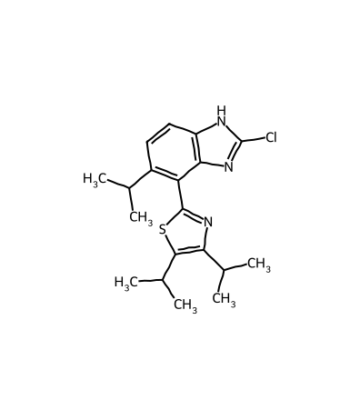 CC(C)c1ccc2[nH]c(Cl)nc2c1-c1nc(C(C)C)c(C(C)C)s1